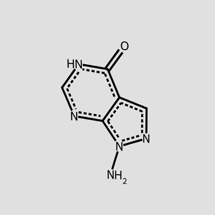 Nn1ncc2c(=O)[nH]cnc21